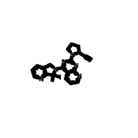 C#CC1CCCN1c1nc(N2Cc3cccnc3C2(C)I)c2cccnc2n1